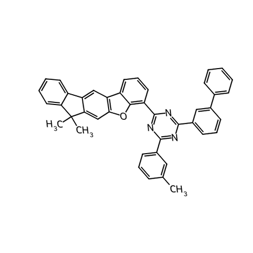 Cc1cccc(-c2nc(-c3cccc(-c4ccccc4)c3)nc(-c3cccc4c3oc3cc5c(cc34)-c3ccccc3C5(C)C)n2)c1